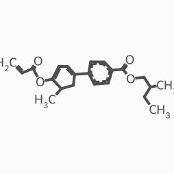 C=CC(=O)OC1=CC=C(c2ccc(C(=O)OCC(C)CC)cc2)CC1C